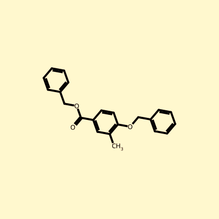 Cc1cc(C(=O)OCc2ccccc2)ccc1OCc1ccccc1